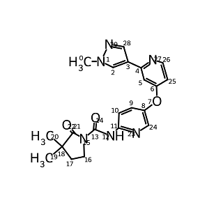 Cn1cc(-c2cc(Oc3ccc(NC(=O)N4CCC(C)(C)C4=O)nc3)ccn2)cn1